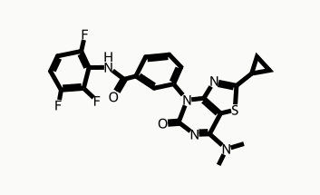 CN(C)c1nc(=O)n(-c2cccc(C(=O)Nc3c(F)ccc(F)c3F)c2)c2nc(C3CC3)sc12